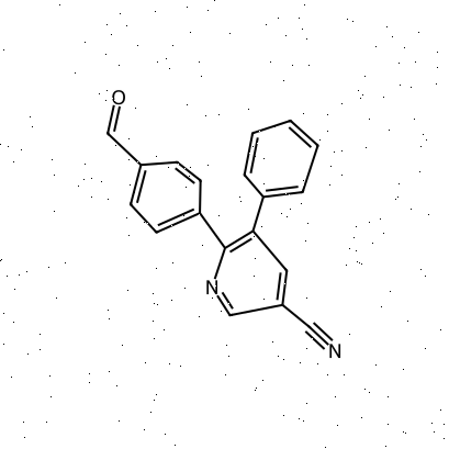 N#Cc1cnc(-c2ccc(C=O)cc2)c(-c2ccccc2)c1